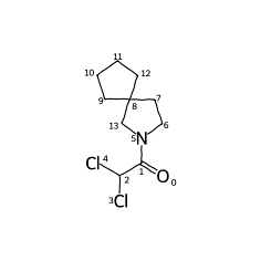 O=C(C(Cl)Cl)N1CCC2(CCCC2)C1